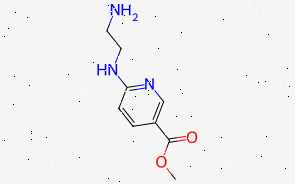 COC(=O)c1ccc(NCCN)nc1